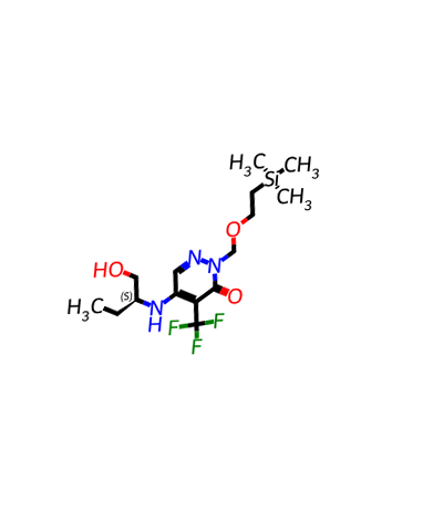 CC[C@@H](CO)Nc1cnn(COCC[Si](C)(C)C)c(=O)c1C(F)(F)F